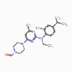 CCN(c1nc(C)cc(N2CCN(C=O)CC2)n1)c1ccc(C(C)C)cc1Br